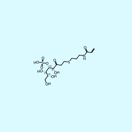 C=CC(=O)NCCCSCCC(=O)[C@H](O)[C@@H](OS(=O)(=O)O)[C@@H](O)[C@H](O)CO